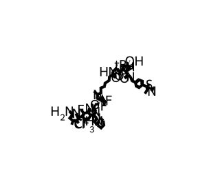 Cc1cc(N)nc(-c2c(Cl)cc3c(N4CC5CCC(C4)N5)nc(OC[C@]4(CN(C)CCCCCCC(=O)N[C@H](C(=O)N5C[C@H](O)C[C@H]5C(=O)NCc5ccc(-c6scnc6C)cc5)C(C)(C)C)CC4(F)F)nc3c2F)c1C(F)(F)F